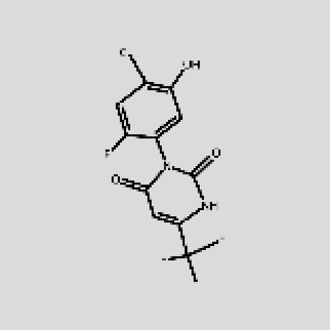 CC(F)(F)c1cc(=O)n(-c2cc(O)c(Cl)cc2F)c(=O)[nH]1